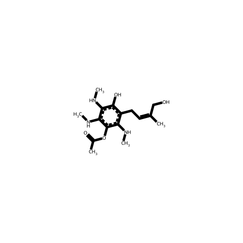 CNc1c(O)c(CC=C(C)CO)c(NC)c(OC(C)=O)c1NC